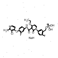 CCOc1ccn(-c2ccc(F)c(COP(=O)(O)O)c2)c(=O)c1C(=O)Nc1ccc(Oc2ccnc(N)c2Cl)c(F)c1.[NaH]